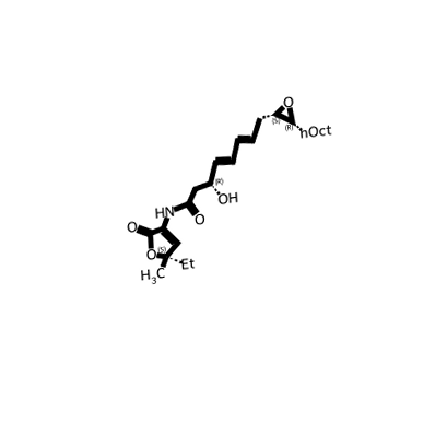 CCCCCCCC[C@H]1O[C@H]1CC=CC=C[C@H](O)CC(=O)NC1=C[C@](C)(CC)OC1=O